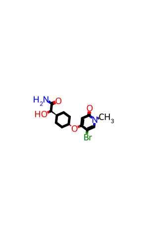 Cn1cc(Br)c(O[C@H]2CC[C@H](C(O)C(N)=O)CC2)cc1=O